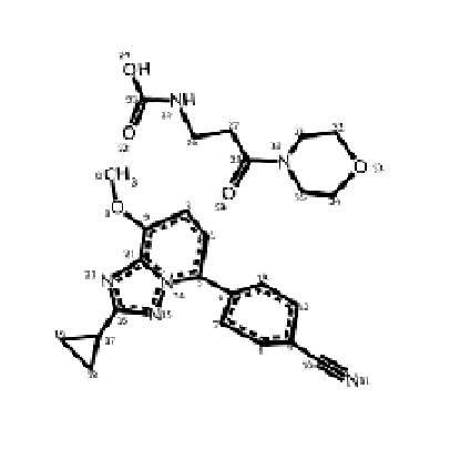 COc1ccc(-c2ccc(C#N)cc2)n2nc(C3CC3)nc12.O=C(O)NCCC(=O)N1CCOCC1